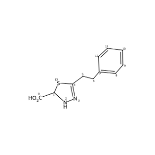 O=C(O)C1NN=C(CCc2ccccc2)S1